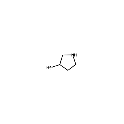 SC1C[CH]NC1